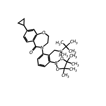 C[SiH](Cc1c(B2OC(C)(C)C(C)(C)O2)cccc1N1CCOc2cc(C3CC3)ccc2C1=O)C(C)(C)C